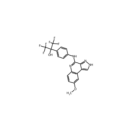 COc1ccc2nc(Nc3ccc(C(O)(C(F)(F)F)C(F)(F)F)cc3)c3n[nH]cc3c2c1